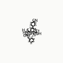 CCC(O)(c1cc(C(C)(C)NC(=O)OCc2ccccc2)cc(-c2ccc(C#N)cc2)n1)C(F)(F)F